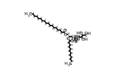 CCCCCCCCCCCCCCCCCC(=O)OC[C@H](COP(=O)(O)OC[C@@H](O)[C@H](O)CO)OC(=O)CCCCCCCCCCC